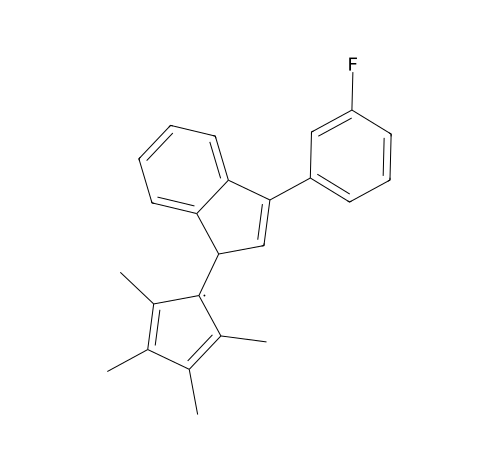 CC1=C(C)C(C)=C(C)[C]1C1C=C(c2cccc(F)c2)c2ccccc21